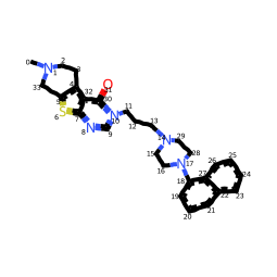 CN1CCc2c(sc3ncn(CCCN4CCN(c5cccc6ccccc56)CC4)c(=O)c23)C1